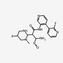 CN1CC(F)CNC1C(C(=O)Nc1cnccc1-c1cccnc1F)C(N)N=O